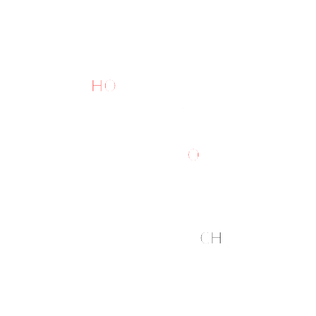 Cc1ccccc1OC1(CO)CC1